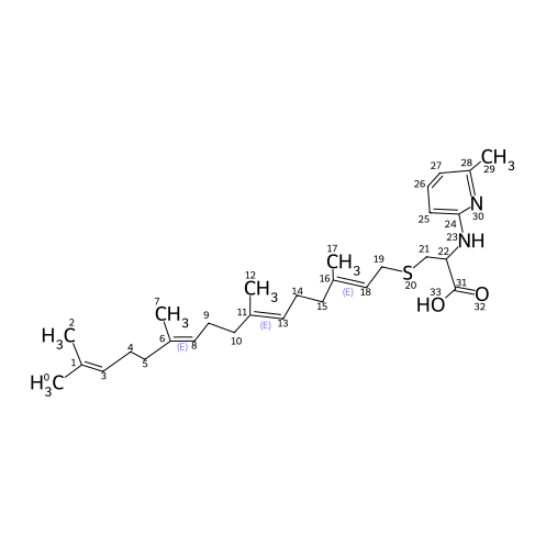 CC(C)=CCC/C(C)=C/CC/C(C)=C/CC/C(C)=C/CSCC(Nc1cccc(C)n1)C(=O)O